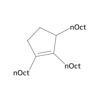 CCCCCCCCC1=C(CCCCCCCC)C(CCCCCCCC)CC1